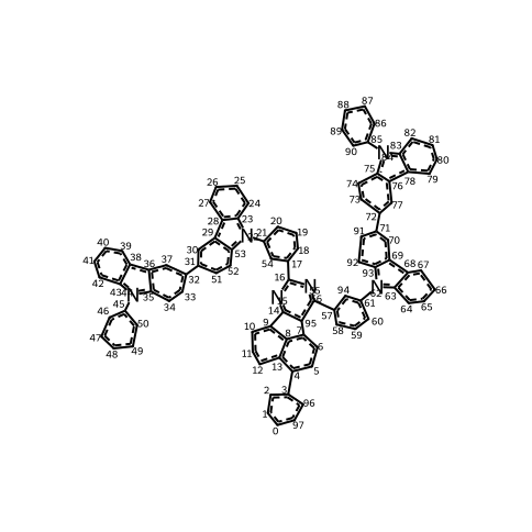 c1ccc(-c2ccc3c4c(cccc24)-c2nc(-c4cccc(-n5c6ccccc6c6cc(-c7ccc8c(c7)c7ccccc7n8-c7ccccc7)ccc65)c4)nc(-c4cccc(-n5c6ccccc6c6cc(-c7ccc8c(c7)c7ccccc7n8-c7ccccc7)ccc65)c4)c2-3)cc1